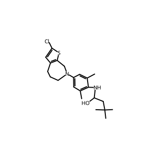 Cc1cc(N2CCCc3cc(Cl)sc3C2)cc(C)c1NC(O)CC(C)(C)C